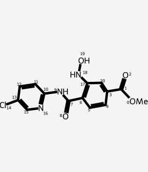 COC(=O)c1ccc(C(=O)Nc2ccc(Cl)cn2)c(NO)c1